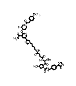 Cc1ncsc1-c1ccc(CNC(=O)[C@@H]2C[C@@H](O)CN2C(=O)[C@@H](NC(=O)CCC(=O)NCCCCn2cnc(-c3cnc(O[C@@H]4CCN(C(=O)Cc5ccc(OC(F)(F)F)cc5)C[C@H]4F)c(C(N)=O)c3)c2)C(C)(C)C)cc1